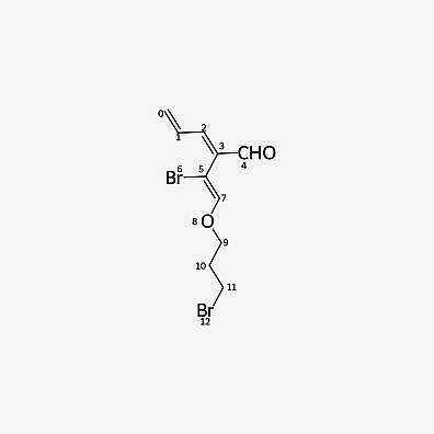 C=C/C=C(C=O)\C(Br)=C\OCCCBr